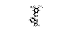 CNc1nnc2c(NCc3ccc(C)c(C)c3)nccn12